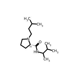 CC(C)CCN1CCC[C@H]1C(=O)NC(C)C(C)C